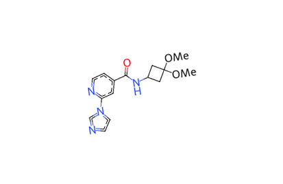 COC1(OC)CC(NC(=O)c2ccnc(-n3ccnc3)c2)C1